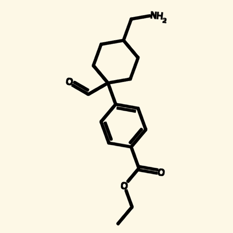 CCOC(=O)c1ccc(C2(C=O)CCC(CN)CC2)cc1